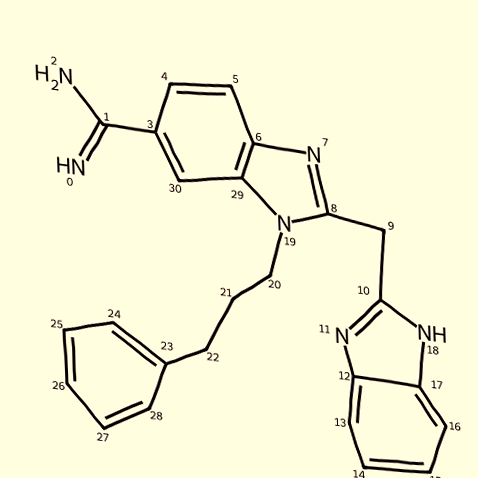 N=C(N)c1ccc2nc(Cc3nc4ccccc4[nH]3)n(CCCc3ccccc3)c2c1